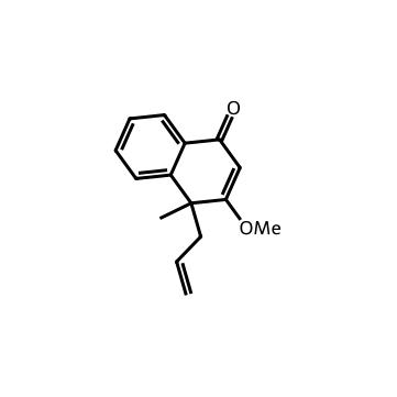 C=CCC1(C)C(OC)=CC(=O)c2ccccc21